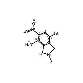 CN1Cc2c(Br)cc([N+](=O)[O-])c(N)c2C1